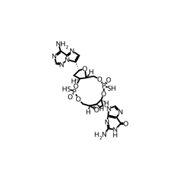 Nc1nc2c(ncn2[C@@H]2O[C@@H]3COP(=O)(S)O[C@H]4C[C@H](c5cnc6c(N)ncnn56)O[C@@H]4COP(=O)(S)O[C@@H]2[C@@H]3F)c(=O)[nH]1